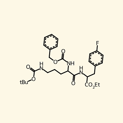 CCOC(=O)C(Cc1ccc(F)cc1)NC(=O)C(CCCNC(=O)OC(C)(C)C)NC(=O)OCc1ccccc1